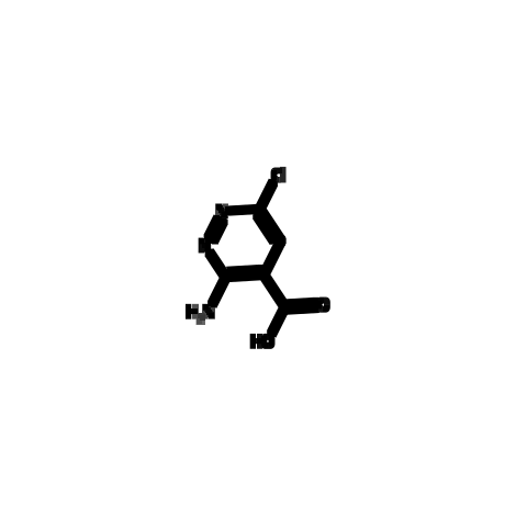 Nc1nnc(Cl)cc1C(=O)O